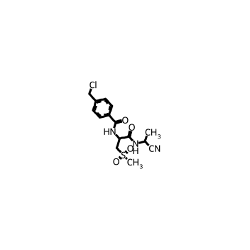 CC(C#N)NC(=O)C(CS(C)(=O)=O)NC(=O)c1ccc(CCl)cc1